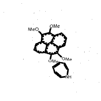 C1=CC=CNC=C1.COc1c(OC)c2cccc3c(OC)c(OC)c4cccc1c4c23